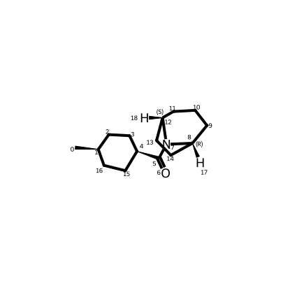 C[C@H]1CC[C@@H](C(=O)N2[C@@H]3CCC[C@H]2CC3)CC1